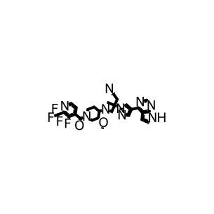 COC1CN(C(=O)c2ccnc(C(F)(F)F)c2F)CCC1N1CC(CC#N)(n2cc(-c3ncnc4[nH]ccc34)cn2)C1